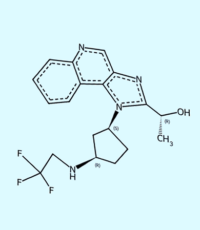 C[C@@H](O)c1nc2cnc3ccccc3c2n1[C@H]1CC[C@@H](NCC(F)(F)F)C1